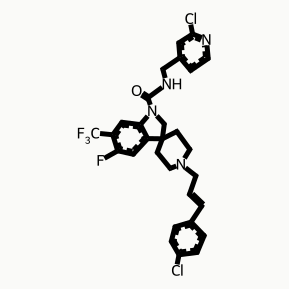 O=C(NCc1ccnc(Cl)c1)N1CC2(CCN(C/C=C/c3ccc(Cl)cc3)CC2)c2cc(F)c(C(F)(F)F)cc21